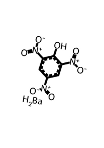 O=[N+]([O-])c1cc([N+](=O)[O-])c(O)c([N+](=O)[O-])c1.[BaH2]